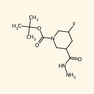 CC(C)(C)OC(=O)N1CC(F)CC(C(=O)NN)C1